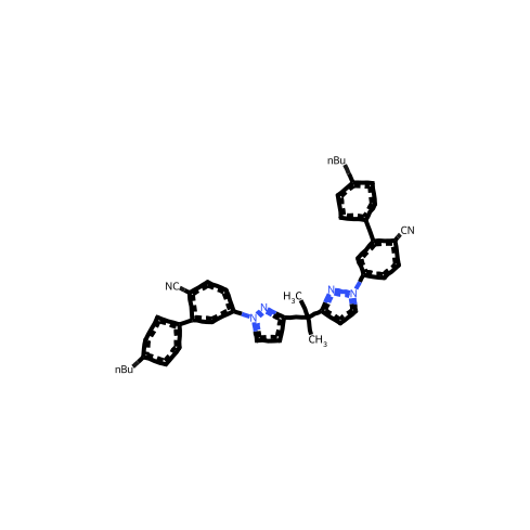 CCCCc1ccc(-c2cc(-n3ccc(C(C)(C)c4ccn(-c5ccc(C#N)c(-c6ccc(CCCC)cc6)c5)n4)n3)ccc2C#N)cc1